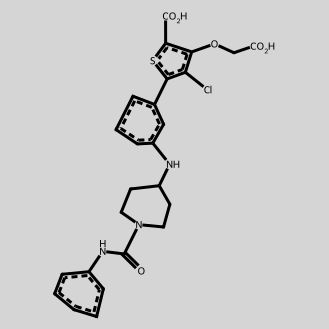 O=C(O)COc1c(C(=O)O)sc(-c2cccc(NC3CCN(C(=O)Nc4ccccc4)CC3)c2)c1Cl